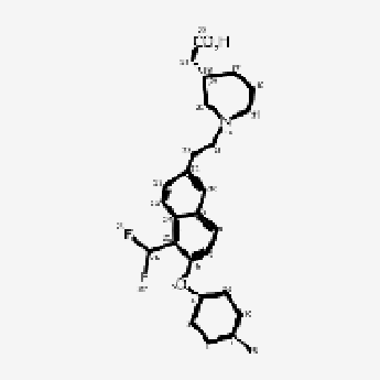 C[C@H]1CC[C@@H](Oc2ccc3cc(CCN4CCC[C@@H](CC(=O)O)C4)ccc3c2C(F)F)CC1